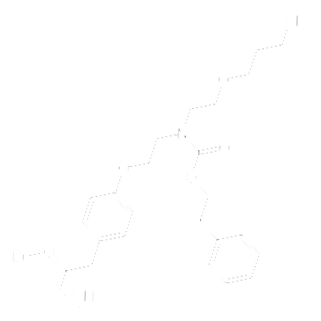 CCOC(Cc1ccc(OCCN(CCOCCCC(F)(F)F)C(=O)OCCc2ccccc2)cc1)C(=O)O